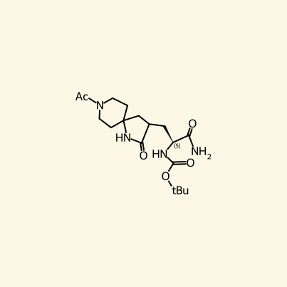 CC(=O)N1CCC2(CC1)CC(C[C@H](NC(=O)OC(C)(C)C)C(N)=O)C(=O)N2